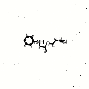 CC(CNc1ccccc1)OCCC#N